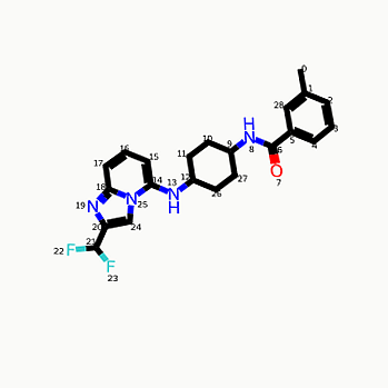 Cc1cccc(C(=O)NC2CCC(Nc3cccc4nc(C(F)F)cn34)CC2)c1